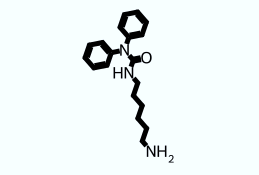 NCCCCCCNC(=O)N(c1ccccc1)c1ccccc1